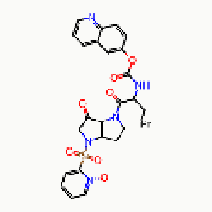 CC(C)CC(NC(=O)Oc1ccc2ncccc2c1)C(=O)N1CCC2C1C(=O)CN2S(=O)(=O)c1cccc[n+]1[O-]